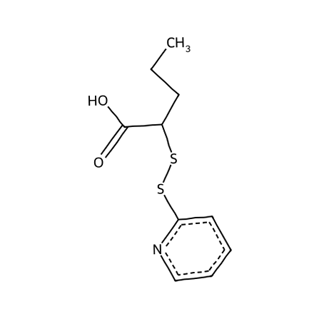 CCCC(SSc1ccccn1)C(=O)O